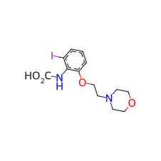 O=C(O)Nc1c(I)cccc1OCCN1CCOCC1